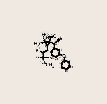 COC(F)(F)C(Br)=CC1C(C)(C)C1(C(=O)O)C(C#N)c1cccc(Oc2ccccc2)c1